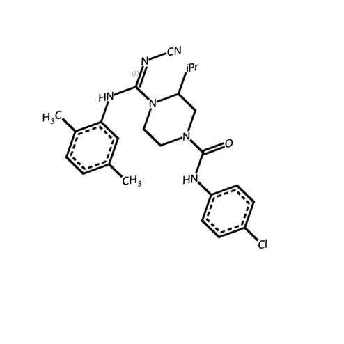 Cc1ccc(C)c(N/C(=N/C#N)N2CCN(C(=O)Nc3ccc(Cl)cc3)CC2C(C)C)c1